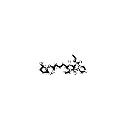 CCOP(=O)(OCC)C(NC(=O)CCCC(=O)ON1C(=O)CCC1=O)P(=O)(OCC)OCC